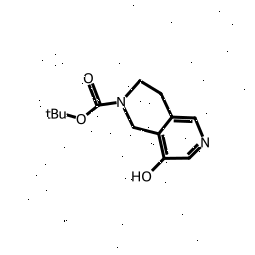 CC(C)(C)OC(=O)N1CCc2cncc(O)c2C1